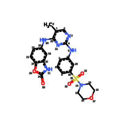 Cc1cnc(Nc2cccc(S(=O)(=O)N3CCOCC3)c2)nc1Nc1ccc2oc(=O)[nH]c2c1